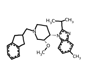 CO[C@@H]1CN(CC2Cc3ccccc3C2)CC[C@@H]1n1c(C(C)C)nc2cc(C)ccc21